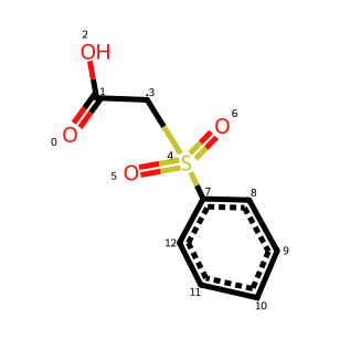 O=C(O)[CH]S(=O)(=O)c1ccccc1